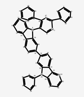 c1ccc(-c2ncc(-n3c4ccccc4c4ccc(-c5ccc6c7ncccc7n(-c7ccccc7)c6c5)cc43)c(-c3ccccc3)n2)cc1